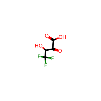 O=C(O)C(=O)C(O)C(F)(F)F